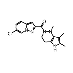 Cc1[nH]c2c(c1C)N(C)N(C(=O)c1cc3ccc(Cl)cn3n1)CC2